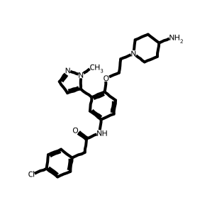 Cn1nccc1-c1cc(NC(=O)Cc2ccc(Cl)cc2)ccc1OCCN1CCC(N)CC1